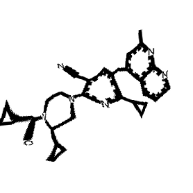 Cc1cc(-c2cc(C#N)c(N3CCN(C(=O)C4CC4)C(C4CC4)C3)nc2C2CC2)c2cccnc2n1